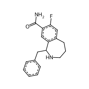 NC(=O)c1cc2c(cc1F)CCCNC2Cc1ccccc1